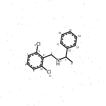 CC(NCc1c(Cl)cccc1Cl)c1ccccc1